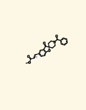 COC(=O)/C=C/c1ccc2c(c1)C(=O)C1(CCN(C(=O)c3ccccc3)CC1)O2